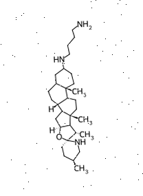 C[C@H]1CC[C@]2(NC1)O[C@H]1CC3[C@@H]4CCC5CC(NCCCCN)CC[C@]5(C)C4CC[C@]3(C)C1[C@@H]2C